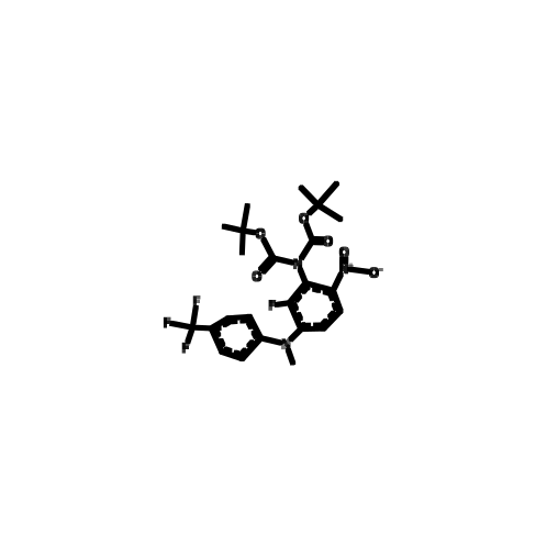 CN(c1ccc(C(F)(F)F)cc1)c1ccc([N+](=O)[O-])c(N(C(=O)OC(C)(C)C)C(=O)OC(C)(C)C)c1F